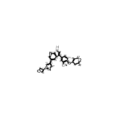 N#Cc1cc(-c2c[nH]c3ncc(-c4cnn(C5COC5)c4)cc23)ccc1OC1CCOCC1